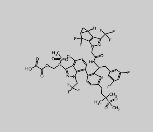 CC(C)(CCc1ccc(-c2ccc(Cl)c3c(N(COC(=O)C(=O)O)S(C)(=O)=O)nn(CC(F)(F)F)c23)c([C@H](Cc2cc(F)cc(F)c2)NC(=O)Cn2nc(C(F)(F)F)c3c2C(F)(F)C2C[C@H]32)n1)S(C)(=O)=O